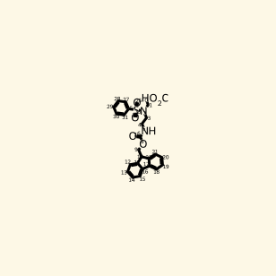 O=C(O)CN(CCNC(=O)OCC1c2ccccc2-c2ccccc21)S(=O)(=O)c1ccccc1